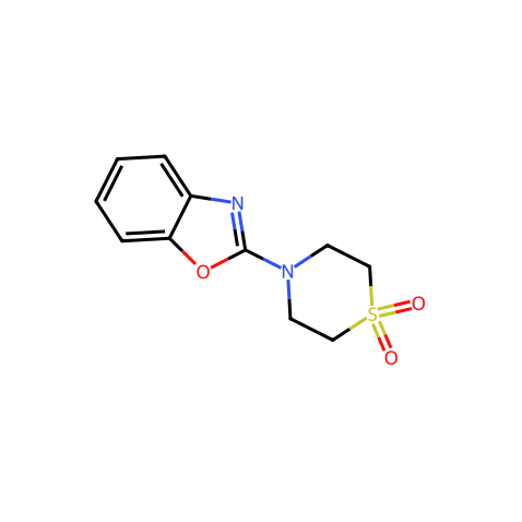 O=S1(=O)CCN(c2nc3ccccc3o2)CC1